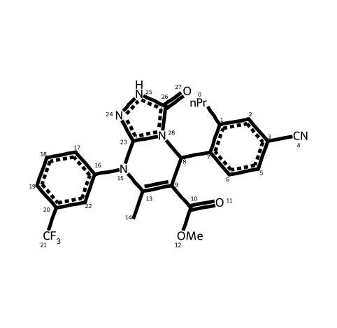 CCCc1cc(C#N)ccc1C1C(C(=O)OC)=C(C)N(c2cccc(C(F)(F)F)c2)c2n[nH]c(=O)n21